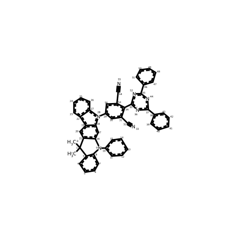 CC1(C)c2ccccc2N(c2ccccc2)c2cc3c(cc21)c1ccccc1n3-c1cc(C#N)c(-c2nc(-c3ccccc3)nc(-c3ccccc3)n2)c(C#N)c1